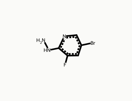 NNc1ncc(Br)cc1F